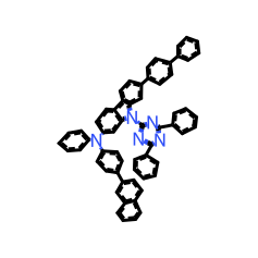 c1ccc(-c2ccc(-c3ccc4c5ccc(N(c6ccccc6)c6ccc(-c7ccc8ccccc8c7)cc6)cc5n(-c5nc(-c6ccccc6)nc(-c6ccccc6)n5)c4c3)cc2)cc1